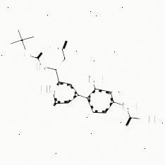 C=CC[C@H](NC(=O)OC(C)(C)C)c1cc(-c2ccc(NC(=O)O)cc2N)cc(=O)[nH]1